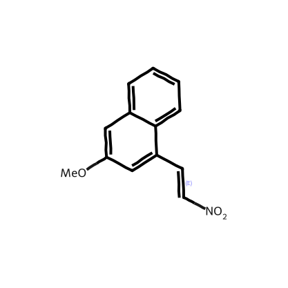 COc1cc(/C=C/[N+](=O)[O-])c2ccccc2c1